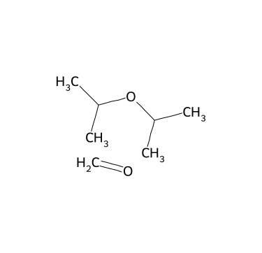 C=O.CC(C)OC(C)C